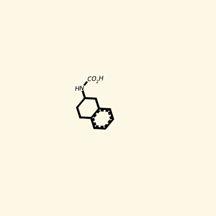 O=C(O)NC1CCc2ccccc2C1